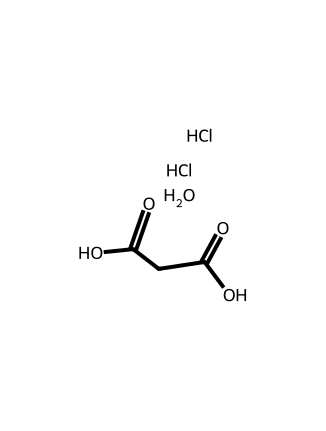 Cl.Cl.O.O=C(O)CC(=O)O